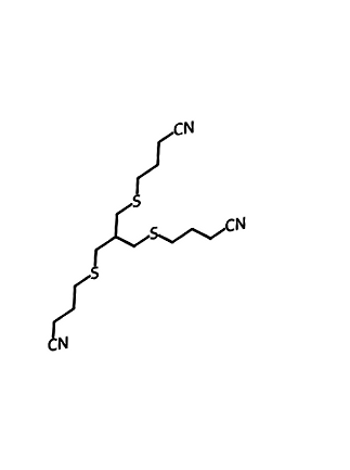 N#CCCCSCC(CSCCCC#N)CSCCCC#N